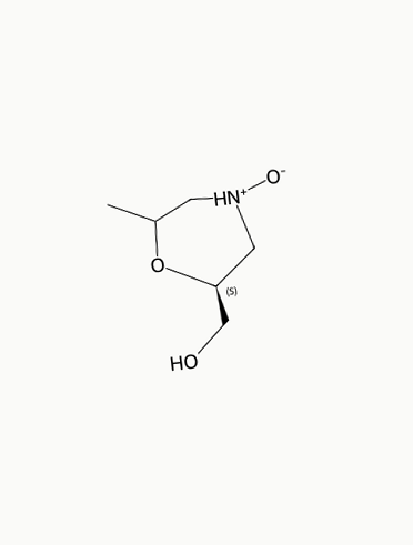 CC1C[NH+]([O-])C[C@@H](CO)O1